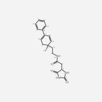 O=C(CC1NC(=O)NC1=O)NCCC1(F)C=CC(c2ccccc2)=CC1